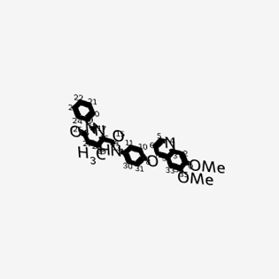 COc1cc2nccc(Oc3ccc(NC(=O)c4nn(-c5ccccc5)c(=O)cc4C)cc3)c2cc1OC